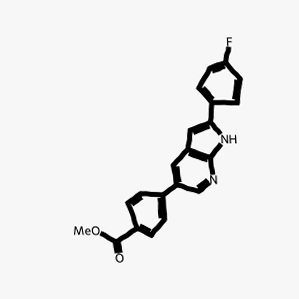 COC(=O)c1ccc(-c2cnc3[nH]c(-c4ccc(F)cc4)cc3c2)cc1